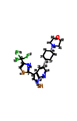 FC(F)(F)c1csc(-c2cn(S)c3ncc([C@H]4CC[C@@H](N5CCOCC5)CC4)cc23)n1